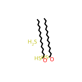 CCCCCCCCCCCCCCC(=O)S.CCCCCCCCCCCCCCC(=O)S.S